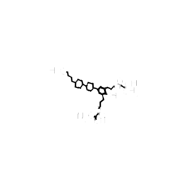 C=C(C)C(=O)OCCCc1cc(C2CCC(C3CCC(CCCCC)CC3)CC2)cc(CCCOC(=O)C(=C)C)c1O